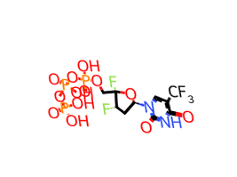 O=c1[nH]c(=O)n([C@H]2C[C@H](F)[C@@](F)(COP(=O)(O)OP(=O)(O)OP(=O)(O)O)O2)cc1C(F)(F)F